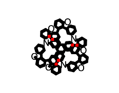 c1ccc2c(c1)c1ccccc1n2-c1ccc2oc3ccc4oc5ccc(-c6cc(-c7ccc8oc9ccc%10oc%11ccc(-n%12c%13ccccc%13c%13ccccc%13%12)cc%11c%10c9c8c7)cc(-c7ccc8oc9ccc%10oc%11ccc(-n%12c%13ccccc%13c%13ccccc%13%12)cc%11c%10c9c8c7)c6)cc5c4c3c2c1